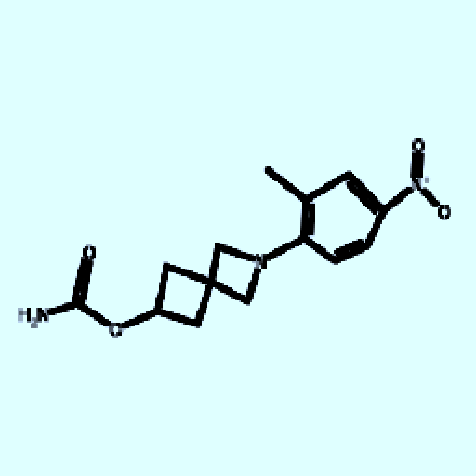 Cc1cc([N+](=O)[O-])ccc1N1CC2(CC(OC(N)=O)C2)C1